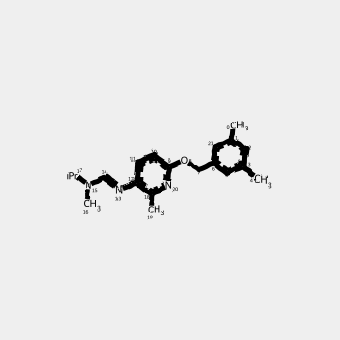 Cc1cc(C)cc(COc2ccc(/N=C/N(C)C(C)C)c(C)n2)c1